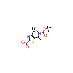 CC1c2sc(C(=O)[O-])nc2CCN1C(=O)OC(C)(C)C.[Li+]